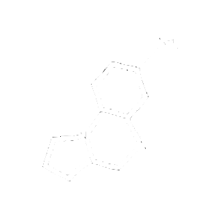 Nc1ccc2c(c1)ncc1cccn12